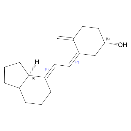 C=C1CC[C@H](O)C/C1=C/C=C1\CCCC2CCC[C@@H]12